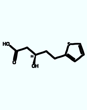 O=C(O)C[C@H](O)CCc1cccs1